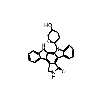 O=C1NCc2c1c1c3ccccc3n(C3CCC(O)CO3)c1c1[nH]c3ccccc3c21